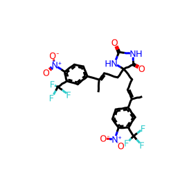 CC(=CCC1(CC=C(C)c2ccc([N+](=O)[O-])c(C(F)(F)F)c2)NC(=O)NC1=O)c1ccc([N+](=O)[O-])c(C(F)(F)F)c1